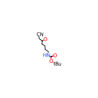 CC(C)(C)OC(=O)NCCCCC(=O)CC#N